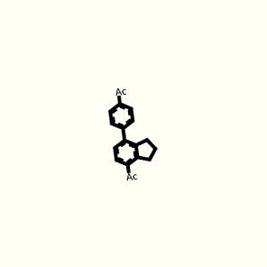 CC(=O)c1ccc(-c2ccc(C(C)=O)c3c2CCC3)cc1